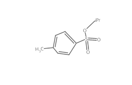 [CH2]C(C)OS(=O)(=O)c1ccc(C)cc1